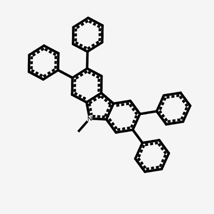 Cn1c2cc(-c3ccccc3)c(-c3ccccc3)cc2c2cc(-c3ccccc3)c(-c3ccccc3)cc21